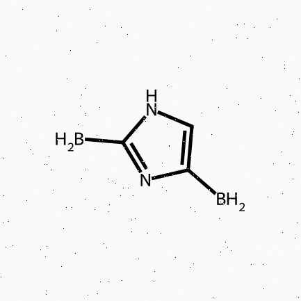 Bc1c[nH]c(B)n1